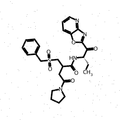 CC[C@H](NC(=O)C(CC(=O)N1CCCC1)CS(=O)(=O)Cc1ccccc1)C(=O)c1nc2ncccc2o1